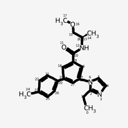 CCc1nccn1-c1cc(C(=O)N[C@H](C)COC)cc(-c2ccc(C)cc2)c1